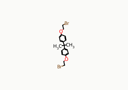 CC(C)(c1ccc(OCCBr)cc1)c1ccc(OCCBr)cc1